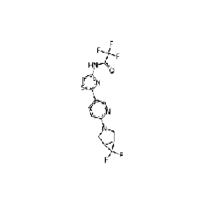 O=C(Nc1csc(-c2ccc(N3CC4C(C3)C4(F)F)nc2)n1)C(F)(F)F